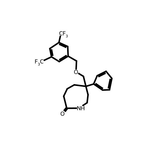 O=C1CCCC(COCc2cc(C(F)(F)F)cc(C(F)(F)F)c2)(c2ccccc2)CCN1